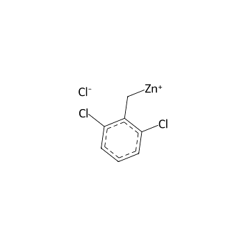 Clc1cccc(Cl)c1[CH2][Zn+].[Cl-]